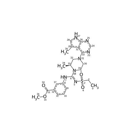 CCS(=O)(=O)N=C(Nc1cccc(C(=O)OC)c1)N1CCN(c2ncnc3[nH]cc(C)c23)C[C@@H]1C